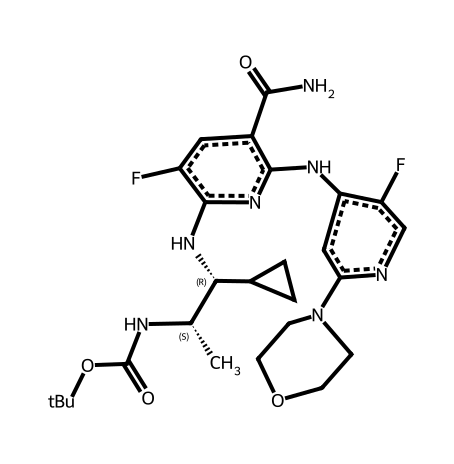 C[C@H](NC(=O)OC(C)(C)C)[C@H](Nc1nc(Nc2cc(N3CCOCC3)ncc2F)c(C(N)=O)cc1F)C1CC1